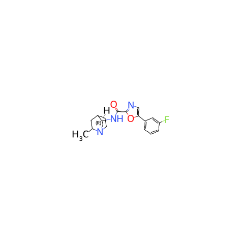 CC1CC2CCN1C[C@@H]2NC(=O)c1ncc(-c2cccc(F)c2)o1